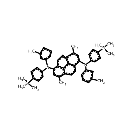 Cc1cccc(N(c2ccc([Si](C)(C)C)cc2)c2cc(C)c3ccc4c(N(c5ccc([Si](C)(C)C)cc5)c5cccc(C)c5)cc(C)c5ccc2c3c54)c1